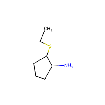 CCSC1CCCC1N